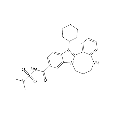 CN(C)S(=O)(=O)NC(=O)c1ccc2c(C3CCCCC3)c3n(c2c1)CCCNc1ccccc1-3